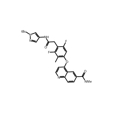 CNC(=O)c1ccc2nccc(Oc3cc(F)c(CC(=O)Nc4cnn(C(C)(C)C)c4)c(F)c3C)c2c1